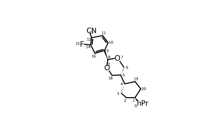 CCC[C@H]1CC[C@H]([C@H]2CO[C@H](c3ccc(C#N)c(F)c3)OC2)CC1